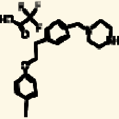 Ic1ccc(OCCc2ccc(CN3CCNCC3)cc2)cc1.O=C(O)C(F)(F)F